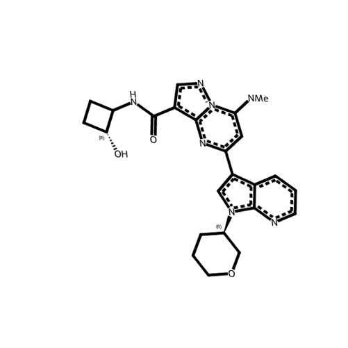 CNc1cc(-c2cn([C@@H]3CCCOC3)c3ncccc23)nc2c(C(=O)NC3CC[C@H]3O)cnn12